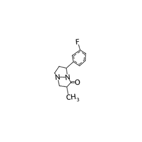 CC1CN2CCC(c3cccc(F)c3)N2C1=O